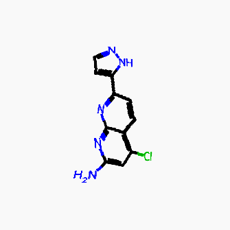 Nc1cc(Cl)c2ccc(-c3ccn[nH]3)nc2n1